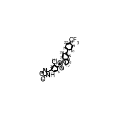 O=c1[nH]c(-c2ccc(S(=O)(=O)N3CCc4cc(-c5ccc(C(F)(F)F)cc5)ccc43)c(Cl)c2)no1